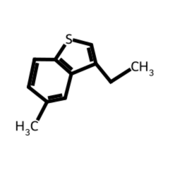 CCc1csc2ccc(C)cc12